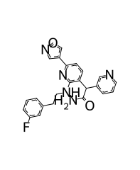 NC(=O)C(c1cccnc1)c1ccc(-c2cnoc2)nc1NCCc1cccc(F)c1